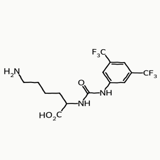 NCCCCC(NC(=O)Nc1cc(C(F)(F)F)cc(C(F)(F)F)c1)C(=O)O